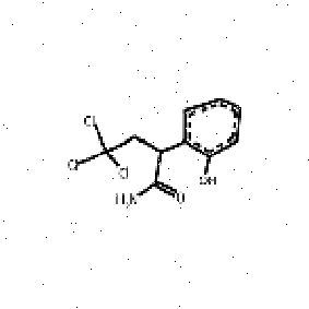 NC(=O)C(CC(Cl)(Cl)Cl)c1ccccc1O